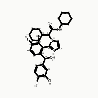 O=C(NC1CCCCC1)C(C1CCCCC1)n1ccnc1-c1c(C(O)c2ccc(Cl)c(Cl)c2)ccc(F)c1F